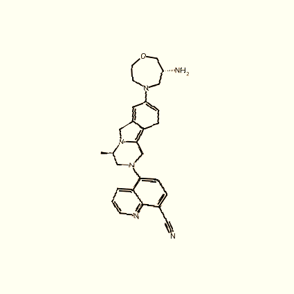 C[C@@H]1CN(c2ccc(C#N)c3ncccc23)CC2=C3CC=C(N4CCOC[C@H](N)C4)C=C3CN21